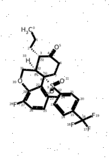 CCC[C@@H]1C(=O)CC[C@@]2(S(=O)(=O)c3ccc(C(F)(F)F)cc3)c3c(F)ccc(F)c3OC[C@@H]12